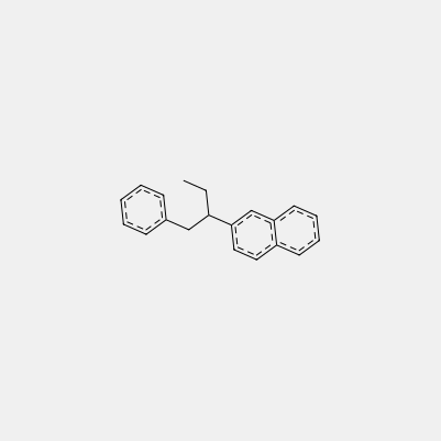 CCC(Cc1ccccc1)c1ccc2ccccc2c1